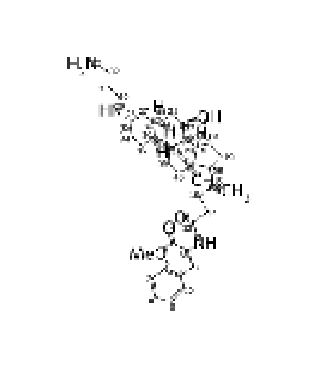 COC(=O)[C@H](Cc1ccccc1)NC(=O)CC[C@@H](C)[C@H]1CC[C@H]2[C@@H]3[C@H](O)C[C@@H]4C[C@@H](NCCCN)CC[C@]4(C)[C@H]3CC[C@]12C